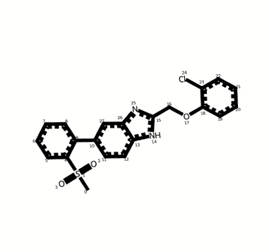 CS(=O)(=O)c1ccccc1-c1ccc2[nH]c(COc3ccccc3Cl)nc2c1